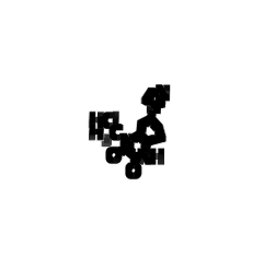 Cl.Cn1c(=O)c(=O)[nH]c2ccc(-n3ccnc3)cc21